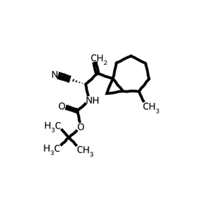 C=C([C@@H](C#N)NC(=O)OC(C)(C)C)C12CCCCC(C)C1C2